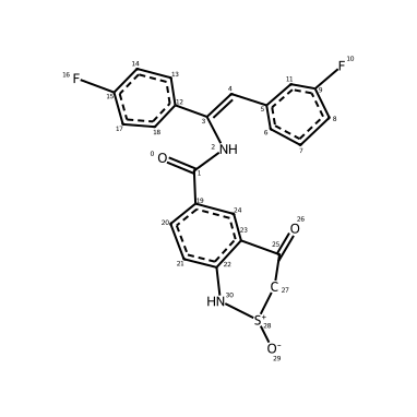 O=C(N/C(=C\c1cccc(F)c1)c1ccc(F)cc1)c1ccc2c(c1)C(=O)C[S+]([O-])N2